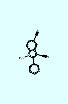 Cn1c(-c2cccnc2)c(C#N)c2cc(C#N)ccc21